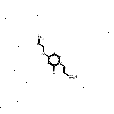 C=CCOc1ccc(/C=C/C(=O)O)c(Cl)c1